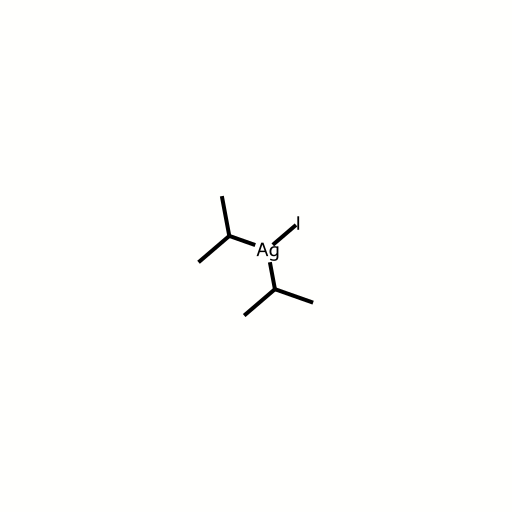 C[CH](C)[Ag]([I])[CH](C)C